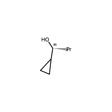 CC(C)[C@@H](O)C1CC1